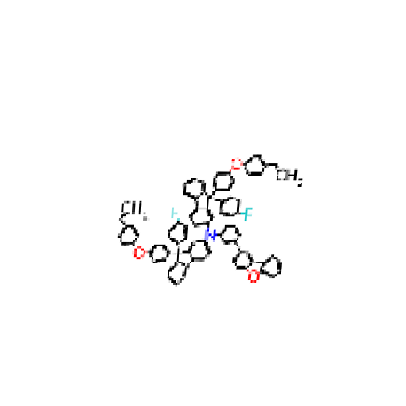 C=Cc1ccc(Oc2ccc(C3(c4ccc(F)cc4)c4ccccc4-c4ccc(N(c5cccc(-c6ccc7oc8ccccc8c7c6)c5)c5ccc6c(c5)C(c5ccc(F)cc5)(c5ccc(Oc7ccc(C=C)cc7)cc5)c5ccccc5-6)cc43)cc2)cc1